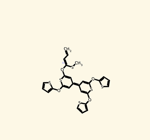 C=C/C=C(/OC1=CC(=C2C=C(Oc3cccs3)SC(Oc3cccs3)=C2)C=C(Oc2cccs2)S1)SC